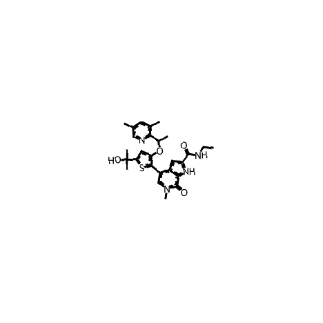 CCNC(=O)c1cc2c(-c3sc(C(C)(C)O)cc3OC(C)c3ncc(C)cc3C)cn(C)c(=O)c2[nH]1